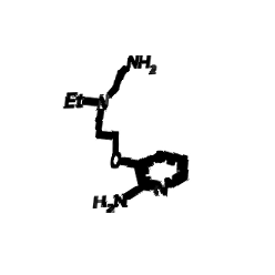 CCN(CCN)CCOc1cccnc1N